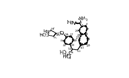 Cl.Cl.N=C(N)c1ccc2ccc(CC(C(=O)O)c3ccc(O[C@@H]4CCNC4)cc3)cc2c1